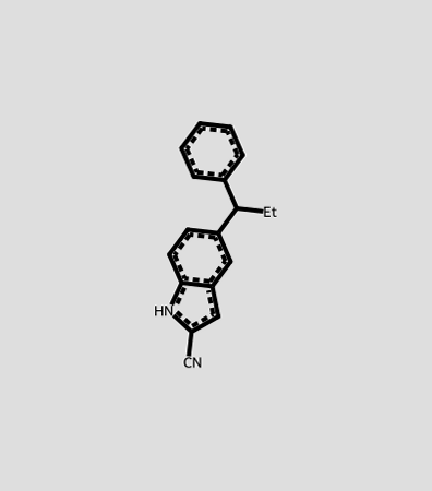 CCC(c1ccccc1)c1ccc2[nH]c(C#N)cc2c1